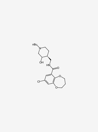 CCCCN1CC[C@@H](CNC(=O)c2cc(Cl)cc3c2OCCCO3)C(O)C1